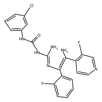 N/C(=C(\N=C(/N)NC(=O)Nc1cccc(Cl)c1)c1ccccc1F)c1ccncc1F